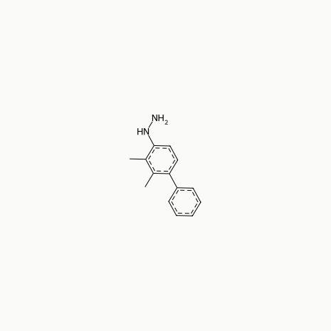 Cc1c(NN)ccc(-c2ccccc2)c1C